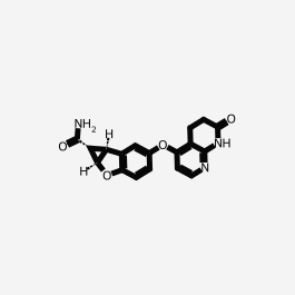 NC(=O)[C@H]1[C@@H]2Oc3ccc(Oc4ccnc5c4CCC(=O)N5)cc3[C@@H]21